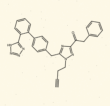 C#CCCn1nc(C(=O)Cc2ccccc2)nc1Cc1ccc(-c2ccccc2-c2nnn[nH]2)cc1